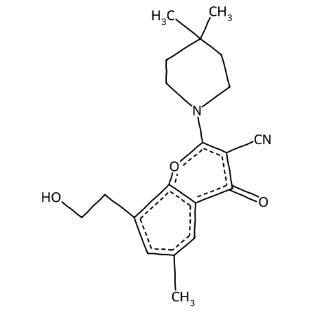 Cc1cc(CCO)c2oc(N3CCC(C)(C)CC3)c(C#N)c(=O)c2c1